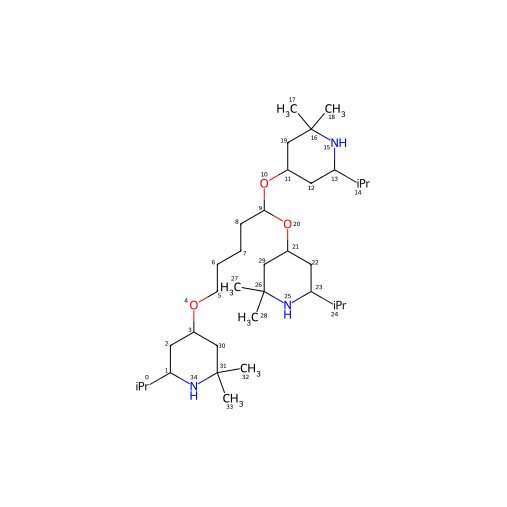 CC(C)C1CC(OCCCCC(OC2CC(C(C)C)NC(C)(C)C2)OC2CC(C(C)C)NC(C)(C)C2)CC(C)(C)N1